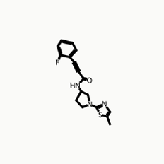 Cc1cnc(N2CCC(NC(=O)C#Cc3ccccc3F)C2)s1